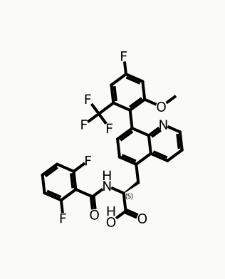 COc1cc(F)cc(C(F)(F)F)c1-c1ccc(C[C@H](NC(=O)c2c(F)cccc2F)C(=O)O)c2cccnc12